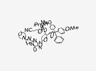 COc1ccc(C(OC[C@H]2O[C@@H](n3cnc4c(=O)[nH]c(/N=C(\C)N5CCOCC5)nc43)CC2OP(OCCC#N)N(C(C)C)C(C)C)(c2ccccc2)c2ccc(OC)cc2)cc1